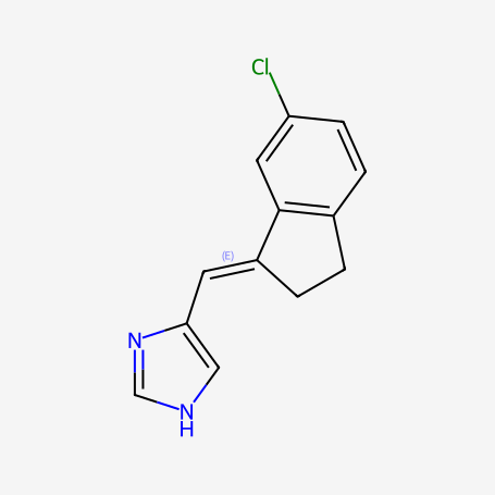 Clc1ccc2c(c1)/C(=C/c1c[nH]cn1)CC2